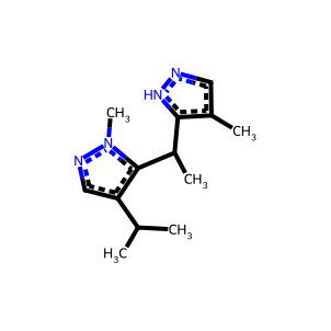 Cc1cn[nH]c1C(C)c1c(C(C)C)cnn1C